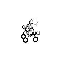 Cl.NCC(O)CNC(=O)[C@@H](Cc1ccc2ccccc2c1)N(C=O)C1CCCN1C(=O)CC1CCCCC1